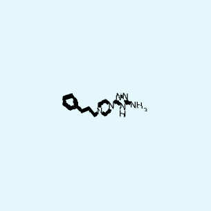 Nc1nnc(N2CCN(CCCc3ccccc3)CC2)[nH]1